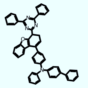 C1=C(c2ccc(N(c3ccccc3)c3ccc(-c4ccccc4)cc3)cc2)c2c(oc3ccccc23)C(c2nc(-c3ccccc3)nc(-c3ccccc3)n2)C1